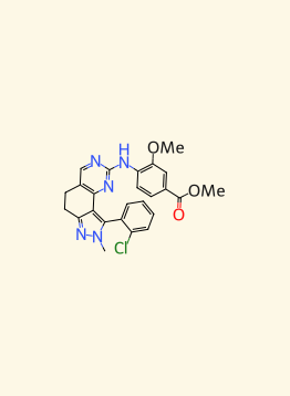 COC(=O)c1ccc(Nc2ncc3c(n2)-c2c(nn(C)c2-c2ccccc2Cl)CC3)c(OC)c1